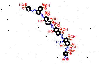 Nc1c(N=Nc2ccc3c(O)c(N=Nc4ccc5c(O)c(N=Nc6ccc(N=Nc7ccc(S(=O)(=O)O)cc7)c7ccc(S(=O)(=O)O)cc67)c(S(=O)(=O)O)cc5c4S(=O)(=O)O)c(S(=O)(=O)O)cc3c2S(=O)(=O)O)cc(S(=O)(=O)O)c2cc(S(=O)(=O)O)c(N=Nc3ccc([N+](=O)[O-])cc3S(=O)(=O)O)c(O)c12